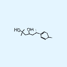 CC1C=CC([C@@H](C)CC(O)CC(C)(C)O)=CC1